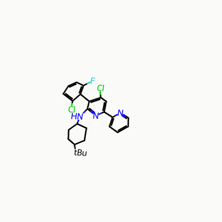 CC(C)(C)C1CCC(Nc2nc(-c3ccccn3)cc(Cl)c2-c2c(F)cccc2Cl)CC1